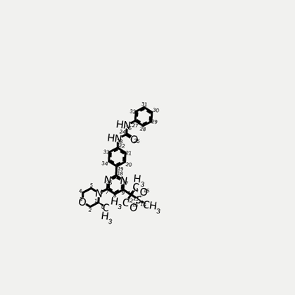 C[C@H]1COCCN1c1cc(C(C)(C)S(C)(=O)=O)nc(-c2ccc(NC(=O)Nc3ccccc3)cc2)n1